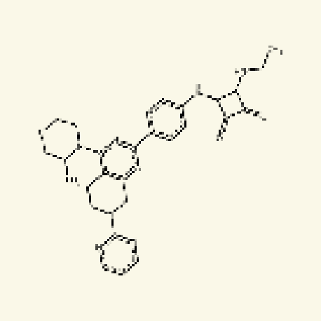 CCNC1C(=O)C(=O)C1Nc1ccc(-c2nc3c(c(N4CCOC[C@@H]4C)n2)CCN(c2ncccn2)C3)cc1